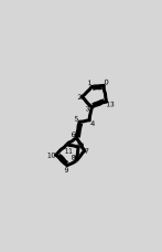 C1=CCC(CC=C2CC3C=CC2C3)=C1